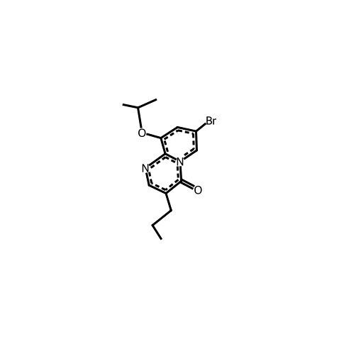 CCCc1cnc2c(OC(C)C)cc(Br)cn2c1=O